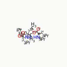 CC(C)CC(NC(C)(C)CC(C)OC(=O)[C@@H](CC(C)C)NC(C)C)C(=O)OC(C)C